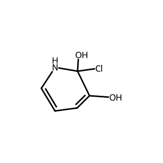 OC1=CC=CNC1(O)Cl